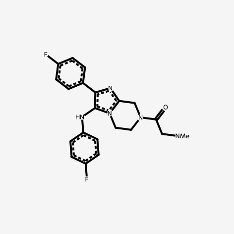 CNCC(=O)N1CCn2c(nc(-c3ccc(F)cc3)c2Nc2ccc(F)cc2)C1